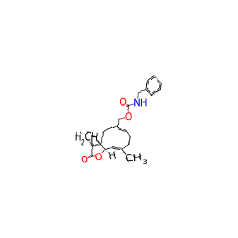 C=C1C(=O)O[C@@H]2/C=C(\C)CC/C=C(/COC(=O)NCc3ccccc3)CC[C@@H]12